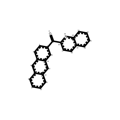 O=C(c1ccc2cc3ccccc3cc2c1)c1ccc2ccccc2n1